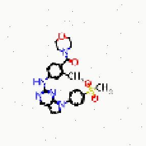 Cc1cc(Nc2ncc3ccn(-c4ccc(S(C)(=O)=O)cc4)c3n2)ccc1C(=O)N1CCOCC1